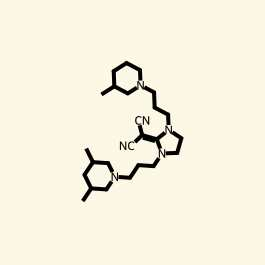 CC1CCCN(CCCN2CCN(CCCN3CC(C)CC(C)C3)C2=C(C#N)C#N)C1